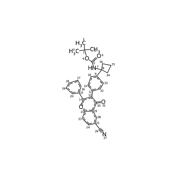 CC(C)(C)OC(=O)NC1(c2ccc(-c3c(-c4ccccc4)oc4ccc(C#N)cc4c3=O)cc2)CCC1